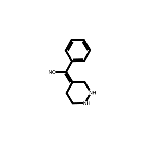 N#C/C(=C1\CCNNC1)c1ccccc1